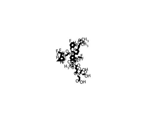 CC(C)(C#Cc1ccc(-c2ccc(Cl)c3c(N(C(=O)/C=C/C(=O)N(CCC(=O)O)[C@@H](CC(=O)O)C(=O)O)S(C)(=O)=O)nn(CC(F)(F)F)c23)c([C@H](Cc2cc(F)cc(F)c2)NC(=O)Cn2nc(C(F)(F)F)c3c2C(F)(F)[C@@H]2C[C@H]32)n1)S(C)(=O)=O